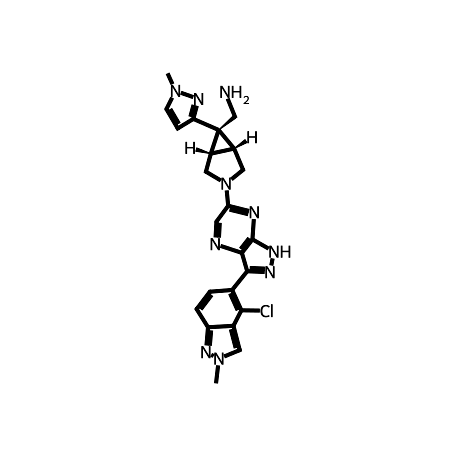 Cn1ccc([C@]2(CN)[C@@H]3CN(c4cnc5c(-c6ccc7nn(C)cc7c6Cl)n[nH]c5n4)C[C@@H]32)n1